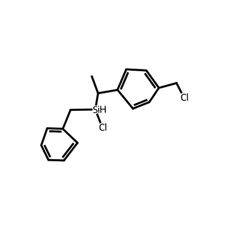 CC(c1ccc(CCl)cc1)[SiH](Cl)Cc1ccccc1